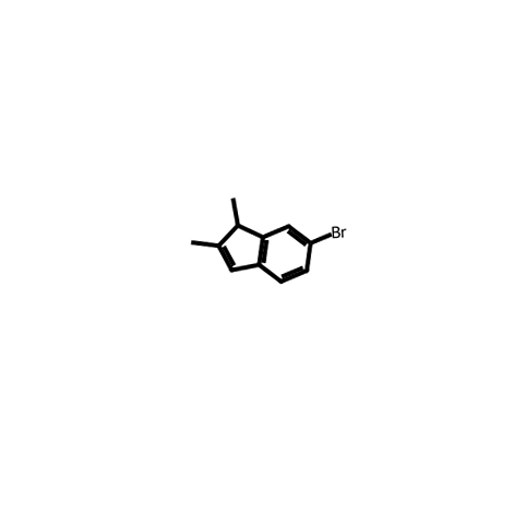 CC1=Cc2ccc(Br)cc2C1C